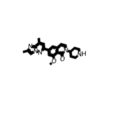 COc1cc(-c2cc(C)c3nc(C)cn3n2)cc2ccn(C3CCNCC3)c(=O)c12